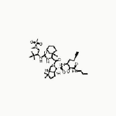 C#CCCC(NC(=O)[C@@H]1[C@H]2CCC(C)(C)[C@H]2CN1C(=O)[C@@H](NC(=O)N[C@H](CN(C)S(C)(=O)=O)C(C)(C)C)C1(C)CCCCC1)C(=O)C(=O)NCC=C